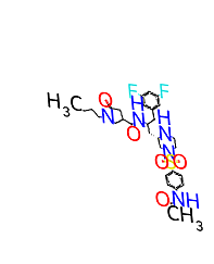 CCCCN1CC(C(=O)NC(Cc2cc(F)cc(F)c2)C[C@H]2CN(S(=O)(=O)c3ccc(NC(C)=O)cc3)CCN2)CC1=O